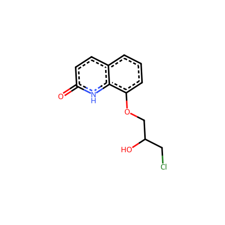 O=c1ccc2cccc(OCC(O)CCl)c2[nH]1